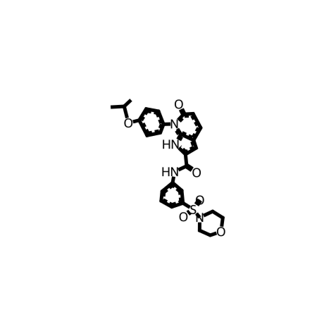 CC(C)Oc1ccc(-n2c(=O)ccc3cc(C(=O)Nc4cccc(S(=O)(=O)N5CCOCC5)c4)[nH]c32)cc1